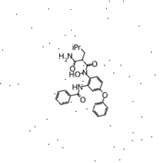 CC(C)CC(C(N)=O)C(=O)N(O)c1ccc(Oc2ccccc2)cc1NC(=O)c1ccccc1